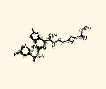 Cc1cc2nc(NC(C)c3cncc(F)c3)nc(C(O)NCCC3CN(C(=O)OC(C)(C)C)C3)c2s1